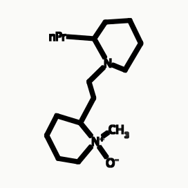 CCCC1CCCCN1CCC1CCCC[N+]1(C)[O-]